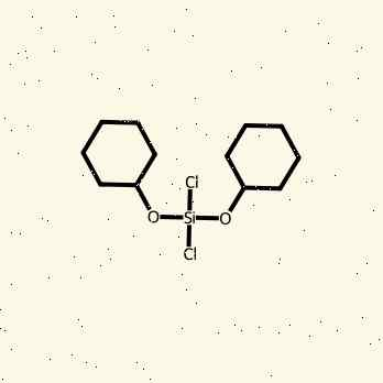 Cl[Si](Cl)(OC1CCCCC1)OC1CCCCC1